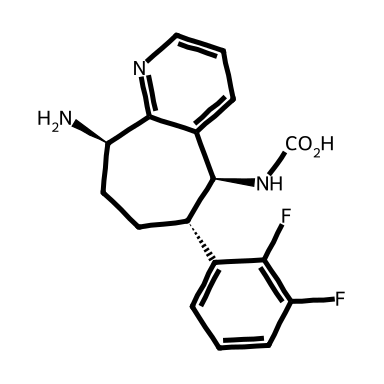 N[C@@H]1CC[C@@H](c2cccc(F)c2F)[C@H](NC(=O)O)c2cccnc21